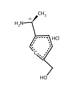 C[C@H](N)c1ccc(CO)cc1.Cl